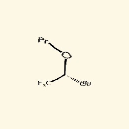 CC(C)O[C@H](C(C)(C)C)C(F)(F)F